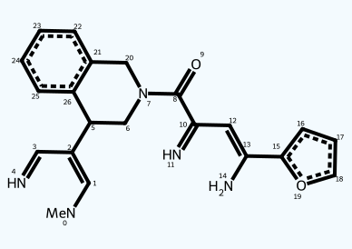 CN/C=C(\C=N)C1CN(C(=O)C(=N)/C=C(\N)c2ccco2)Cc2ccccc21